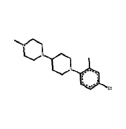 CCc1ccc(N2CCC(N3CCN(C)CC3)CC2)c(C)c1